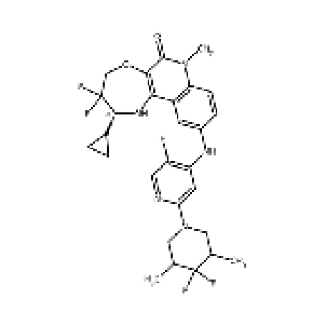 CC1CN(c2cc(Nc3ccc4c(c3)c3c(c(=O)n4C)OCC(F)(F)[C@H](C4CC4)N3)c(F)cn2)CC(C)C1(F)F